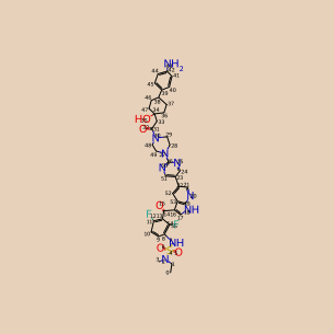 CCN(C)S(=O)(=O)Nc1ccc(F)c(C(=O)c2c[nH]c3ncc(-c4cnc(N5CCN(C(=O)CC6(O)CCC(c7ccc(N)cc7)CC6)CC5)nc4)cc23)c1F